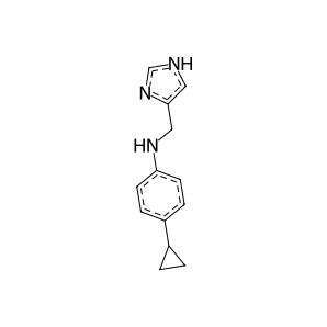 c1nc(CNc2ccc(C3CC3)cc2)c[nH]1